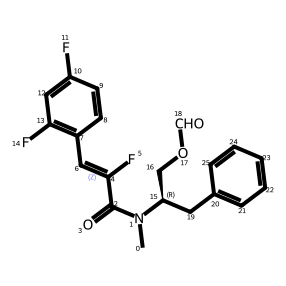 CN(C(=O)/C(F)=C/c1ccc(F)cc1F)[C@@H](COC=O)Cc1ccccc1